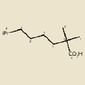 CC(C)CCCCC(C)(C)C(=O)O